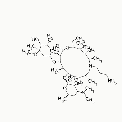 CC[C@H]1OC(=O)[C@H](C)[C@@H](O[C@H]2C[C@@](C)(OC)[C@@H](O)[C@H](C)O2)[C@H](C)[C@@H](O[C@@H]2O[C@H](C)C[C@H](N(C)C)[C@H]2O)[C@](C)(O)C[C@@H](C)CN(CCCN)[C@H](C)[C@@H](O)[C@]1(C)O